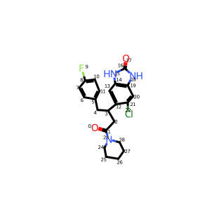 O=C(CC(Cc1ccc(F)cc1)c1cc2[nH]c(=O)[nH]c2cc1Cl)N1CCCCC1